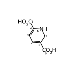 O=C(O)C1=CC=C(C(=O)O)NC1